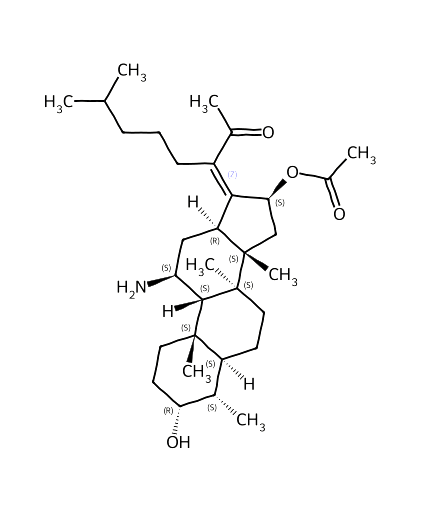 CC(=O)O[C@H]1C[C@@]2(C)[C@@H](C[C@H](N)[C@H]3[C@@]4(C)CC[C@@H](O)[C@@H](C)[C@@H]4CC[C@@]32C)/C1=C(\CCCC(C)C)C(C)=O